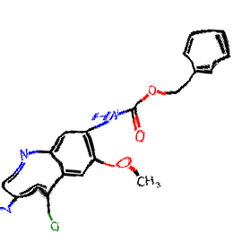 COc1cc2c(Cl)c(N)cnc2cc1NC(=O)OCc1ccccc1